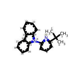 CC(C)(C)c1cccc(-n2c3ccccc3c3ccccc32)n1